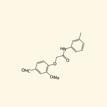 COc1cc(C=O)ccc1OCC(=O)Nc1cccc(C)c1